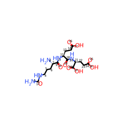 NC(=O)NCCC[C@H](N)C(=O)N[C@@H](CCC(=O)O)C(=O)N[C@@H](CCC(=O)O)C(=O)O